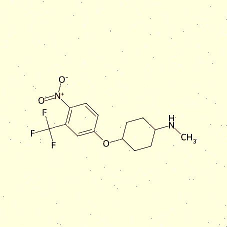 CNC1CCC(Oc2ccc([N+](=O)[O-])c(C(F)(F)F)c2)CC1